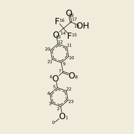 COc1ccc(OC(=O)c2ccc(OC(F)(F)C(=O)O)cc2)cc1